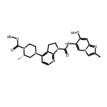 COc1cc2nc(C)cn2cc1NC(=O)N1CCc2c(N3CCN(C(=O)OC(C)(C)C)[C@@H](C)C3)ccnc21